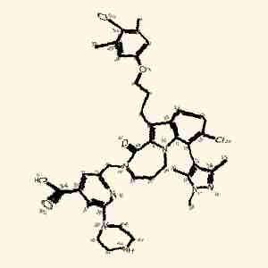 Cc1cc(OCCCc2c3n(c4c(-c5c(C)nn(C)c5C)c(Cl)ccc24)CCCN(Cc2cc(C(=O)O)cc(N4CCNCC4)n2)C3=O)cc(C)c1Cl